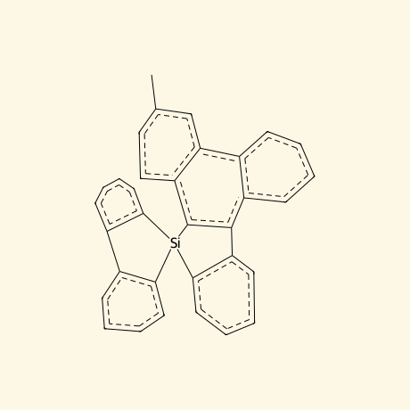 Cc1ccc2c3c(c4ccccc4c2c1)-c1ccccc1[Si]31c2ccccc2-c2ccccc21